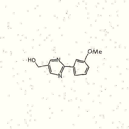 COc1cccc(-c2ncc(CO)cn2)c1